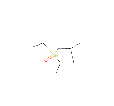 CC[SH](=O)(CC)CC(C)C